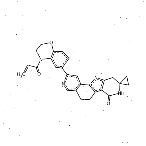 C=CC(=O)N1CCOc2ccc(-c3cc4c(cn3)CCc3c-4[nH]c4c3C(=O)NC3(CC3)C4)cc21